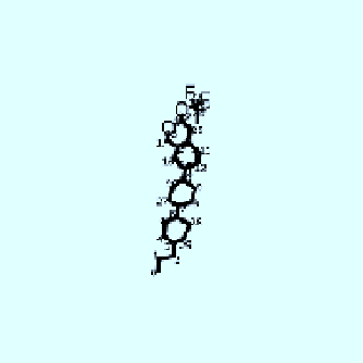 CCCC1CCC(C2CCC(c3ccc4c(c3)COC(OC(F)(F)F)C4)CC2)CC1